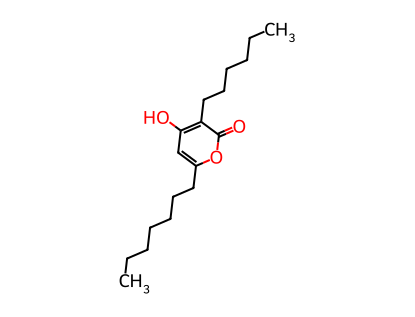 CCCCCCCc1cc(O)c(CCCCCC)c(=O)o1